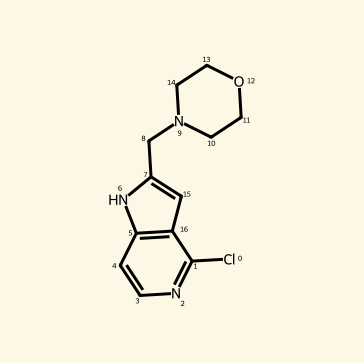 Clc1nccc2[nH]c(CN3CCOCC3)cc12